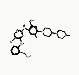 COCc1ccccc1Nc1nc(Nc2cc(C)c(N3CCC(N4CCN(C)CC4)CC3)cc2OC)ncc1Br